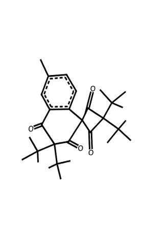 Cc1ccc2c(c1)C(=O)C(C(C)(C)C)(C(C)(C)C)C(=O)C21C(=O)C(C(C)(C)C)(C(C)(C)C)C1=O